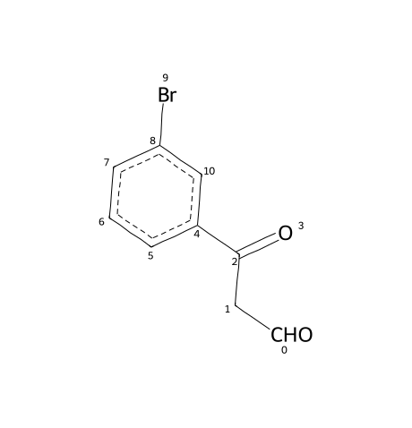 O=CCC(=O)c1cccc(Br)c1